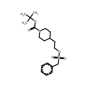 CC(C)(C)OC(=O)N1CCC(CCOS(=O)(=O)Cc2ccccc2)CC1